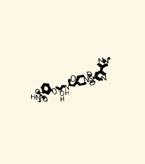 CNS(=O)(=O)c1cccc(OC[C@@H](O)CNC2COC3(CCN(S(=O)(=O)c4cncc(-c5cnn(C)c5)c4)CC3)C2)c1